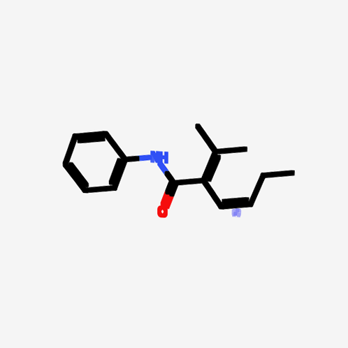 CC/C=C\C(C(=O)Nc1ccccc1)=C(C)C